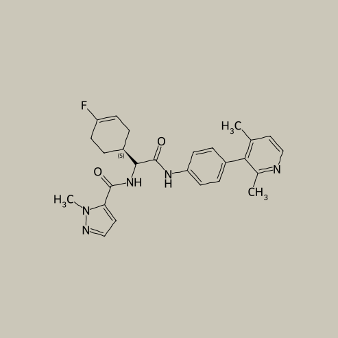 Cc1ccnc(C)c1-c1ccc(NC(=O)C(NC(=O)c2ccnn2C)[C@@H]2CC=C(F)CC2)cc1